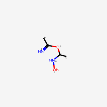 CC(=N)OC(C)NO